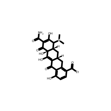 CCC(=O)c1ccc(O)c2c1C[C@H]1C[C@H]3C(N(C)C)C(O)=C(C(N)=O)C(=O)[C@@]3(O)C(O)=C1C2=O